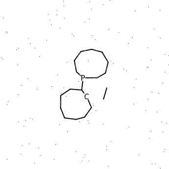 C1CCCCC(P2CCCCCCCC2)CCC1.CC